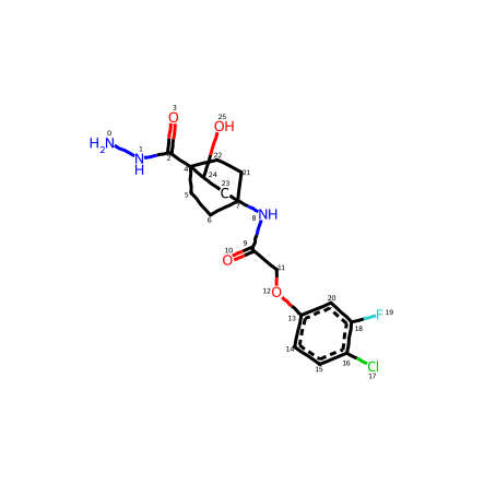 NNC(=O)C12CCC(NC(=O)COc3ccc(Cl)c(F)c3)(CC1)CC2O